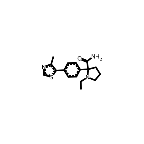 CCN1CCCC1(C(N)=O)c1ccc(-c2scnc2C)cc1